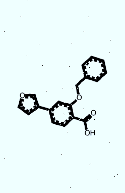 O=C(O)c1ccc(-c2ccoc2)cc1OCc1ccccc1